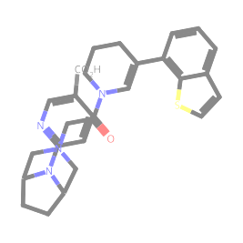 O=C(O)c1ccc(N2C3CCC2CN(CC(=O)N2C=C(c4cccc5ccsc45)CCC2)C3)nc1